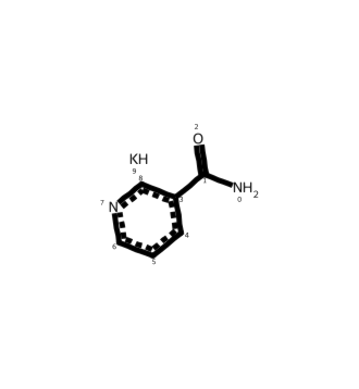 NC(=O)c1cccnc1.[KH]